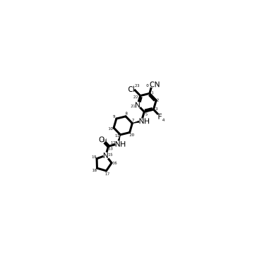 N#Cc1cc(F)c(N[C@@H]2CCC[C@H](NC(=O)N3CCCC3)C2)nc1Cl